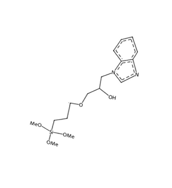 CO[Si](CC[CH]OCC(O)Cn1cnc2ccccc21)(OC)OC